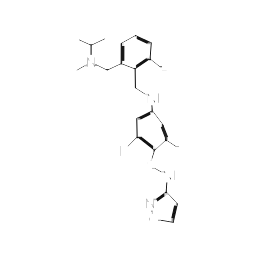 CC(C)N(C)Cc1cccc(F)c1CNc1cc(F)c(SNc2ccon2)c(F)c1